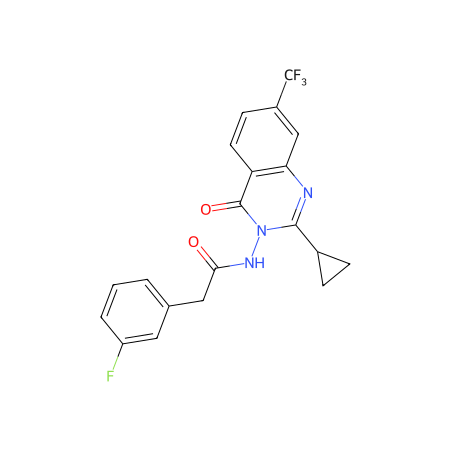 O=C(Cc1cccc(F)c1)Nn1c(C2CC2)nc2cc(C(F)(F)F)ccc2c1=O